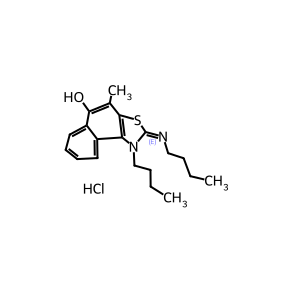 CCCC/N=c1/sc2c(C)c(O)c3ccccc3c2n1CCCC.Cl